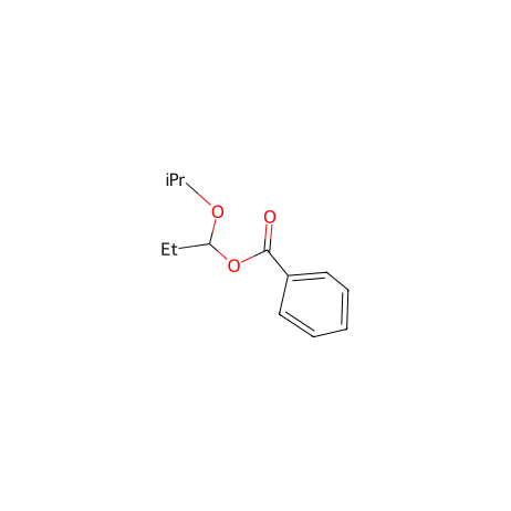 CCC(OC(=O)c1ccccc1)OC(C)C